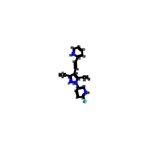 Cc1nn(-c2ccc(F)nc2)c(C)c1C#Cc1ccccn1